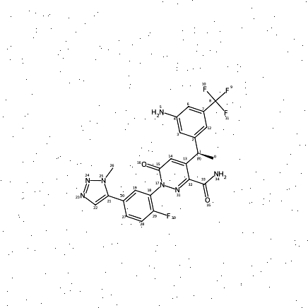 C[C@H](c1cc(N)cc(C(F)(F)F)c1)c1cc(=O)n(-c2cc(-c3cnnn3C)ccc2F)nc1C(N)=O